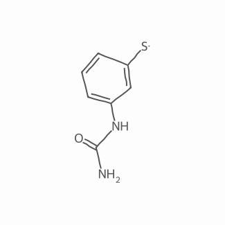 NC(=O)Nc1cccc([S])c1